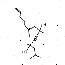 C=CCOCC(C)CC(C)(O)C#CC(C)(O)CC(C)C